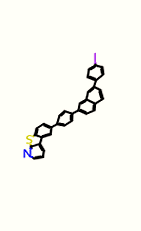 Ic1ccc(-c2ccc3ccc(-c4ccc(-c5ccc6sc7ncccc7c6c5)cc4)cc3c2)cc1